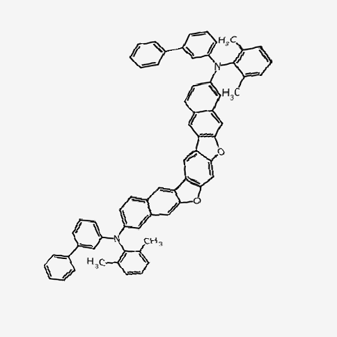 Cc1cccc(C)c1N(c1cccc(-c2ccccc2)c1)c1ccc2cc3c(cc2c1)oc1cc2oc4cc5cc(N(c6cccc(-c7ccccc7)c6)c6c(C)cccc6C)ccc5cc4c2cc13